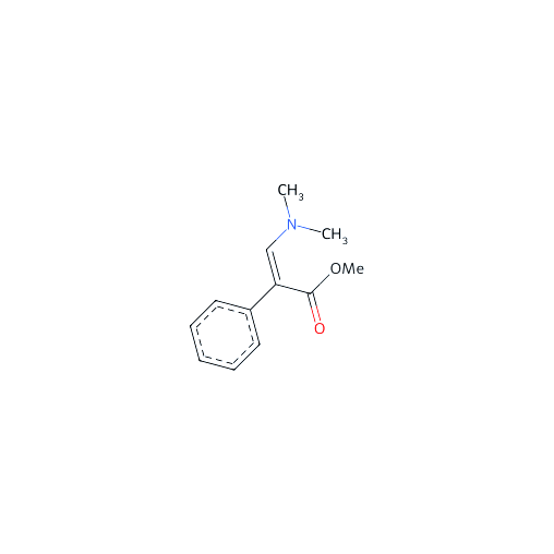 COC(=O)/C(=C\N(C)C)c1ccccc1